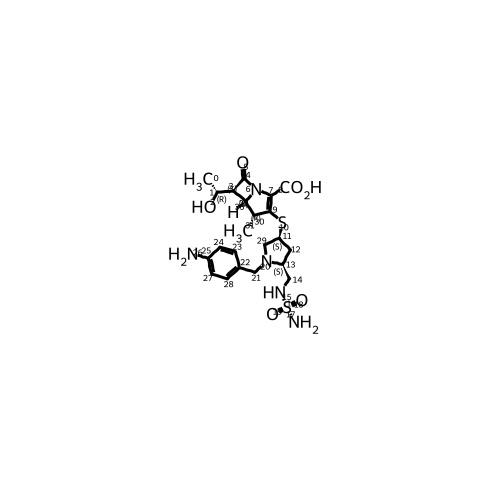 C[C@@H](O)[C@H]1C(=O)N2C(C(=O)O)=C(S[C@H]3C[C@@H](CNS(N)(=O)=O)N(Cc4ccc(N)cc4)C3)[C@H](C)[C@H]12